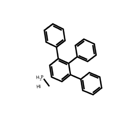 CP.I.c1ccc(-c2cccc(-c3ccccc3)c2-c2ccccc2)cc1